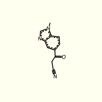 Cn1cnc2cc(C(=O)CC#N)ccc21